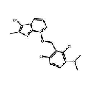 Cc1nc2c(OCc3c(Cl)ccc(N(C)C)c3Cl)cccn2c1Br